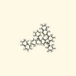 c1ccc(N(c2ccc(-c3cccc4ccccc34)cc2)c2ccc3c(c2)c2c(-c4ccc5ccccc5c4)cccc2n3-c2ccccc2)cc1